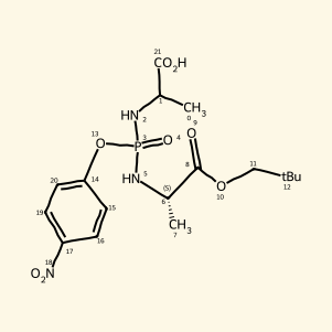 CC(NP(=O)(N[C@@H](C)C(=O)OCC(C)(C)C)Oc1ccc([N+](=O)[O-])cc1)C(=O)O